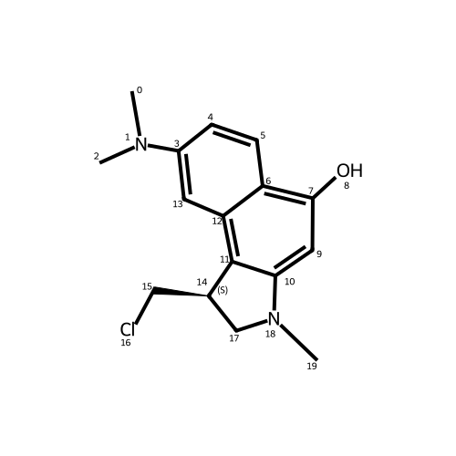 CN(C)c1ccc2c(O)cc3c(c2c1)[C@H](CCl)CN3C